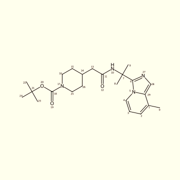 Cc1cccn2c(C(C)(C)NC(=O)CC3CCN(C(=O)OC(C)(C)C)CC3)ncc12